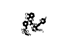 CC(C)CS(=O)(=O)NCc1cccc(-n2c(C(C)Nc3ncnc(N)c3C#Cc3ccc(F)cn3)nc3cccc(Cl)c3c2=O)c1